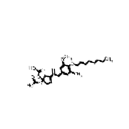 CCCCCCCCOc1c(C)cc(CNC2CCC(OC(=O)O)(OC(=O)O)C2)cc1OC